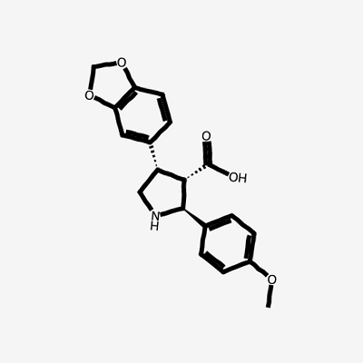 COc1ccc([C@H]2NC[C@H](c3ccc4c(c3)OCO4)[C@@H]2C(=O)O)cc1